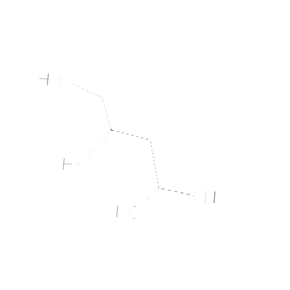 CCC(S)[CH]C(C)C